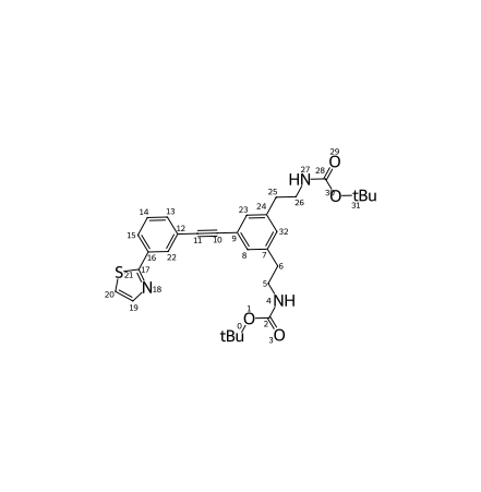 CC(C)(C)OC(=O)NCCc1cc(C#Cc2cccc(-c3nccs3)c2)cc(CCNC(=O)OC(C)(C)C)c1